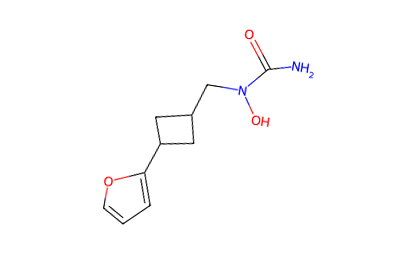 NC(=O)N(O)CC1CC(c2ccco2)C1